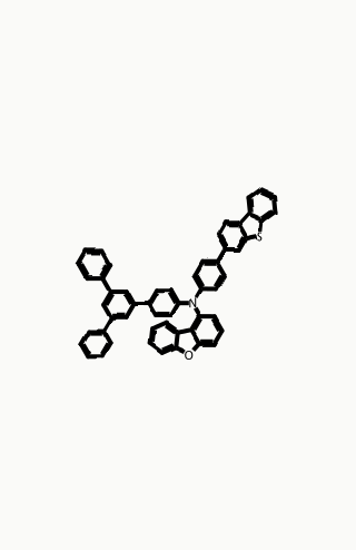 c1ccc(-c2cc(-c3ccccc3)cc(-c3ccc(N(c4ccc(-c5ccc6c(c5)sc5ccccc56)cc4)c4cccc5oc6ccccc6c45)cc3)c2)cc1